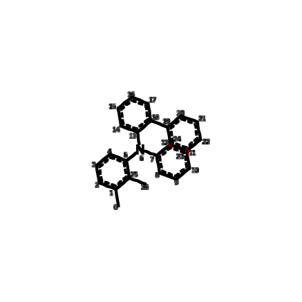 Cc1cccc(N(c2ccccc2)c2ccccc2-c2ccccc2)c1C